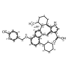 CC1CCCC2=c3[nH]cc(C(=O)O)c3=Cn3c(cc4c(OCc5ccc(Cl)nc5)ccc(C5CCCCC5)c43)[C@H]21